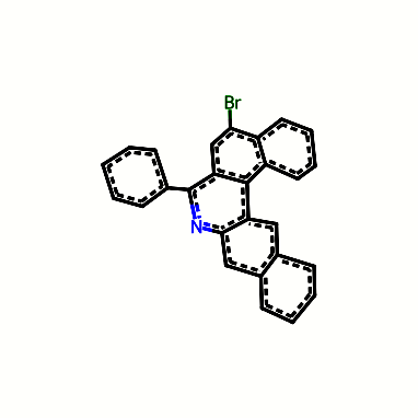 Brc1cc2c(-c3ccccc3)nc3cc4ccccc4cc3c2c2ccccc12